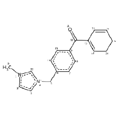 Cn1cc[n+](Cc2ccc(C(=O)C3=CCCC=C3)cc2)c1